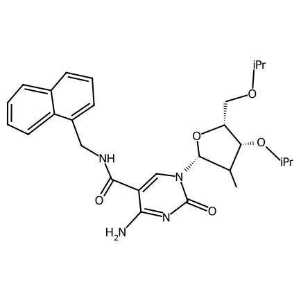 CC(C)OC[C@H]1O[C@@H](n2cc(C(=O)NCc3cccc4ccccc34)c(N)nc2=O)C(C)[C@H]1OC(C)C